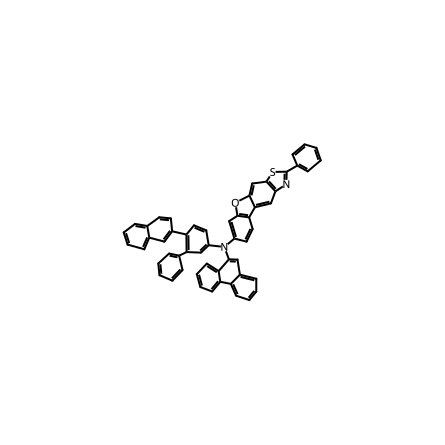 c1ccc(-c2nc3cc4c(cc3s2)oc2cc(N(c3ccc(-c5ccc6ccccc6c5)c(-c5ccccc5)c3)c3cc5ccccc5c5ccccc35)ccc24)cc1